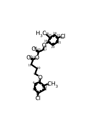 Cc1cc(Cl)ccc1OCCCC(=O)OC(=O)COc1ccc(Cl)cc1C